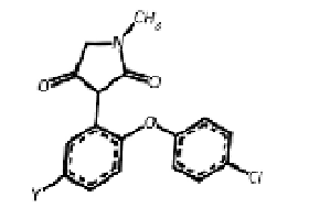 CN1CC(=O)C(c2c[c]([Y])ccc2Oc2ccc(Cl)cc2)C1=O